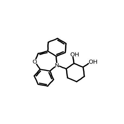 OC1CCCC(N2C3=CC=CCC3=COc3ccccc32)C1O